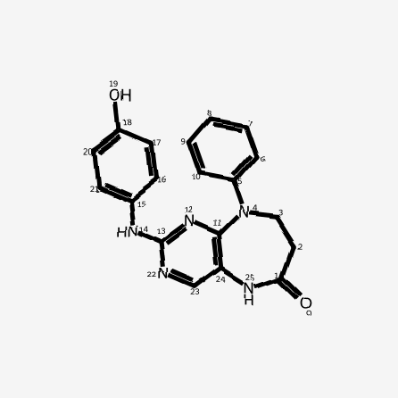 O=C1CCN(c2ccccc2)c2nc(Nc3ccc(O)cc3)ncc2N1